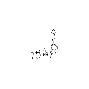 Cc1oc2ccc(OCC3CCC3)cc2c1C(=O)N[C@@H](CO)C(N)=O